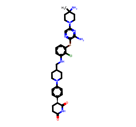 CC1(N)CCN(c2cnc(Sc3cccc(NCC4CCN(c5ccc([C@@H]6CCC(=O)NC6=O)cc5)CC4)c3Cl)c(N)n2)CC1